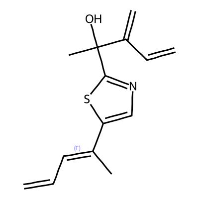 C=C/C=C(\C)c1cnc(C(C)(O)C(=C)C=C)s1